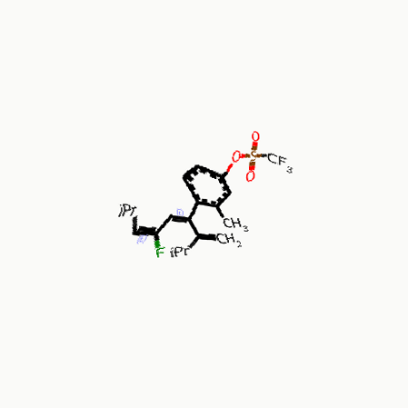 C=C(/C(=C\C(F)=C/C(C)C)c1ccc(OS(=O)(=O)C(F)(F)F)cc1C)C(C)C